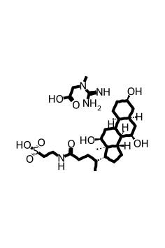 CC(CCC(=O)NCCS(=O)(=O)O)[C@H]1CC[C@H]2[C@@H]3[C@H](O)C[C@@H]4C[C@H](O)CC[C@]4(C)[C@H]3C[C@H](O)[C@]12C.CN(CC(=O)O)C(=N)N